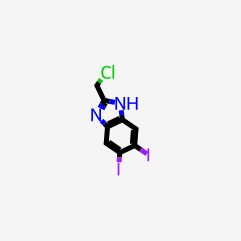 ClCc1nc2cc(I)c(I)cc2[nH]1